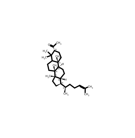 CC(=O)[C@@H]1CC[C@@]2(C)C(CC[C@]3(C)[C@@H]2CC[C@@H]2[C@@H]([C@H](C)CCC=C(C)C)CC[C@@]23C)C1(C)C